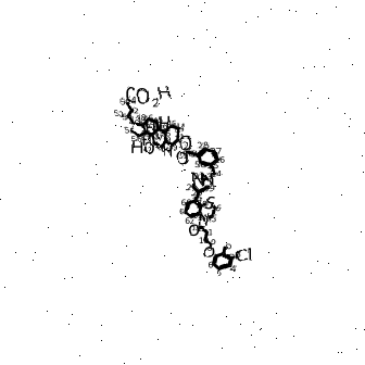 Cc1c(Cl)cccc1OCCCC(=O)N1CCSc2c(-c3cnn(Cc4cccc(C(=O)O[C@@H]5CC[C@@]6(C)[C@@H](C5)C[C@@H](O)[C@@H]5[C@@H]6CC[C@]6(C)[C@@H]([C@H](C)CCC(=O)O)CC[C@@H]56)c4)c3)cccc21